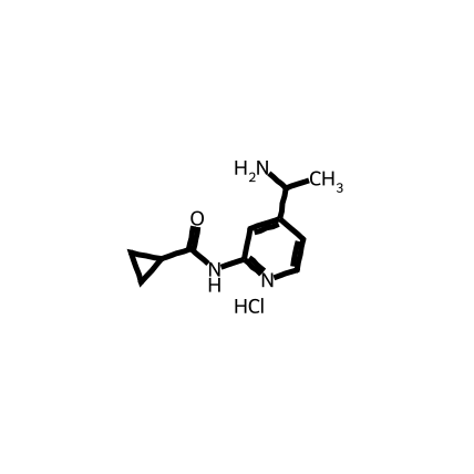 CC(N)c1ccnc(NC(=O)C2CC2)c1.Cl